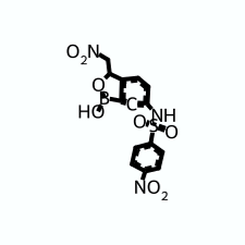 O=[N+]([O-])CC1OB(O)c2cc(NS(=O)(=O)c3ccc([N+](=O)[O-])cc3)ccc21